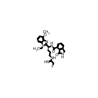 CCn1c([C@H](CCCNC(=N)CF)NC(=O)c2cccc3c2C(=O)NC3)nc2c(OC)cccc21